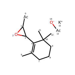 CC(=O)C1OC1C1=C(C)CCCC1(C)C.CC(=O)[O-].[K+]